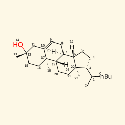 CCCC[C@@H](C)[C@H]1CC[C@H]2[C@@H]3CC=C4C[C@@](C)(O)CC[C@]4(C)[C@H]3CC[C@]12C